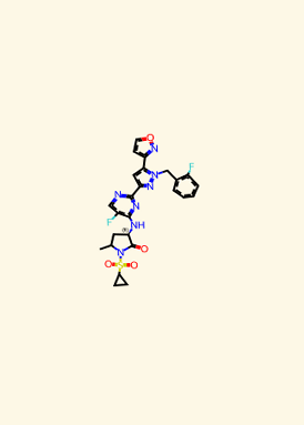 CC1C[C@@H](Nc2nc(-c3cc(-c4ccon4)n(Cc4ccccc4F)n3)ncc2F)C(=O)N1S(=O)(=O)C1CC1